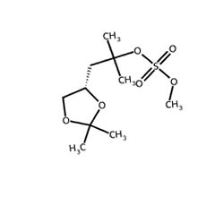 COS(=O)(=O)OC(C)(C)C[C@H]1COC(C)(C)O1